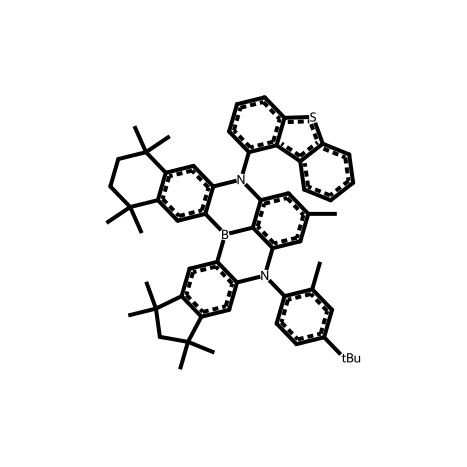 Cc1cc2c3c(c1)N(c1cccc4sc5ccccc5c14)c1cc4c(cc1B3c1cc3c(cc1N2c1ccc(C(C)(C)C)cc1C)C(C)(C)CC3(C)C)C(C)(C)CCC4(C)C